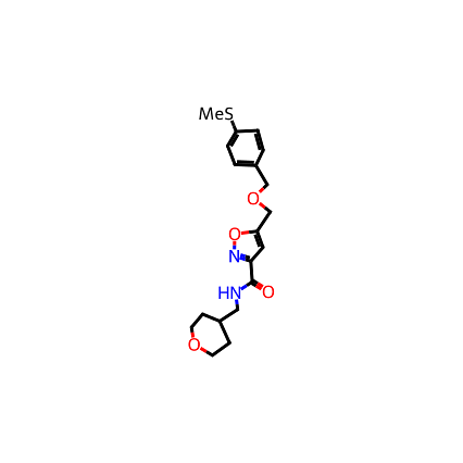 CSc1ccc(COCc2cc(C(=O)NCC3CCOCC3)no2)cc1